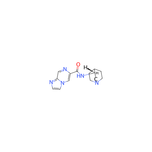 O=C(N[C@H]1CN2CCC1CC2)c1cn2ccnc2cn1